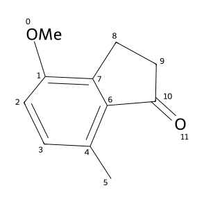 COc1ccc(C)c2c1CCC2=O